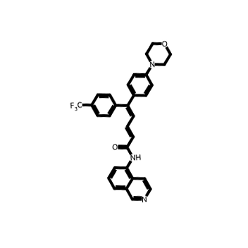 O=C(C=CC=C(c1ccc(N2CCOCC2)cc1)c1ccc(C(F)(F)F)cc1)Nc1cccc2cnccc12